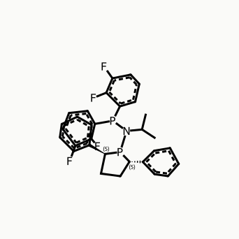 CC(C)N(P(c1cccc(F)c1F)c1cccc(F)c1F)P1[C@H](c2ccccc2)CC[C@H]1c1ccccc1